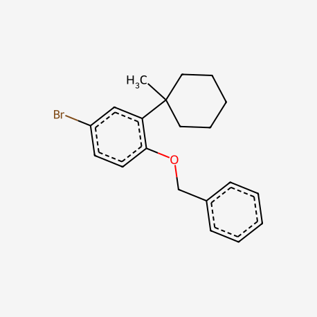 CC1(c2cc(Br)ccc2OCc2ccccc2)CCCCC1